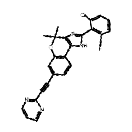 CC1(C)Oc2cc(C#Cc3ncccn3)ccc2-c2[nH]c(-c3c(F)cccc3Cl)nc21